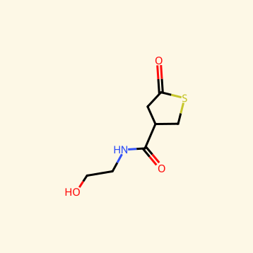 O=C1CC(C(=O)NCCO)CS1